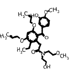 C=CCOc1cc(OCC=C)c(C(=O)c2ccc(OC)c(O)c2)c(CC(=O)N(CCO)CCOC)c1CC